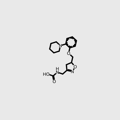 O=C(O)NCC1=NOC(COc2ccccc2N2CCCCC2)C1